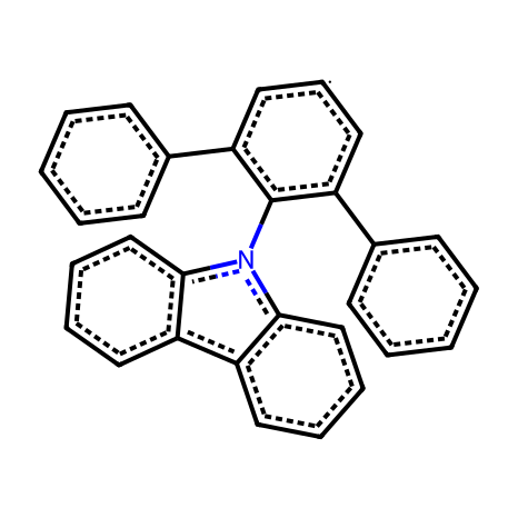 [c]1cc(-c2ccccc2)c(-n2c3ccccc3c3ccccc32)c(-c2ccccc2)c1